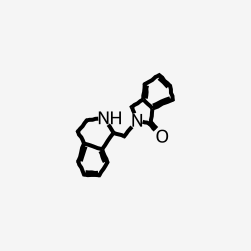 O=C1c2ccccc2CN1CC1NCCc2ccccc21